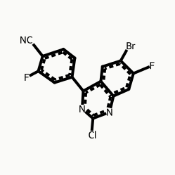 N#Cc1ccc(-c2nc(Cl)nc3cc(F)c(Br)cc23)cc1F